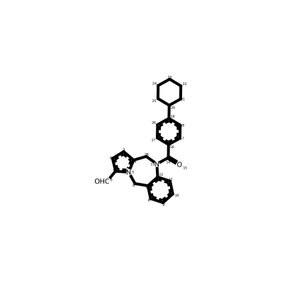 O=Cc1ccc2n1Cc1ccccc1N(C(=O)c1ccc(C3CCCCC3)cc1)C2